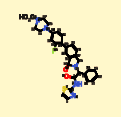 O=C(Nc1nccs1)[C@@H](c1ccccc1)N1Cc2ccc(-c3ccc(N4CCN(C(=O)O)CC4)cc3F)cc2C1=O